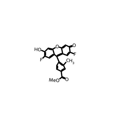 COC(=O)c1ccc(-c2c3cc(F)c(=O)cc-3oc3cc(O)c(F)cc23)c(C)c1